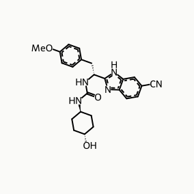 COc1ccc(C[C@@H](NC(=O)N[C@H]2CC[C@H](O)CC2)c2nc3ccc(C#N)cc3[nH]2)cc1